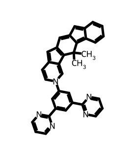 CC1(C)C2=c3ccccc3=CC2=Cc2cc3ccn(-c4cc(-c5ncccn5)cc(-c5ncccn5)c4)cc-3c21